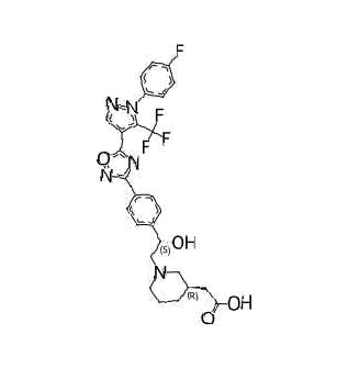 O=C(O)C[C@H]1CCCN(C[C@@H](O)c2ccc(-c3noc(-c4cnn(-c5ccc(F)cc5)c4C(F)(F)F)n3)cc2)C1